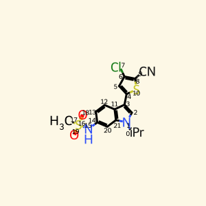 CC(C)n1cc(-c2cc(Cl)c(C#N)s2)c2ccc(NS(C)(=O)=O)cc21